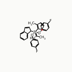 CC1=[C]([Zr]([O]c2ccc(F)cc2)([O]c2ccc(F)cc2)(=[C](C)C)[CH]2C=Cc3ccccc32)CC=C1